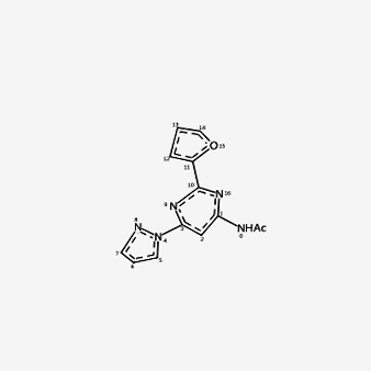 CC(=O)Nc1cc(-n2cccn2)nc(-c2ccco2)n1